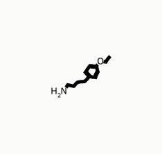 CCOc1ccc(CCCCN)cc1